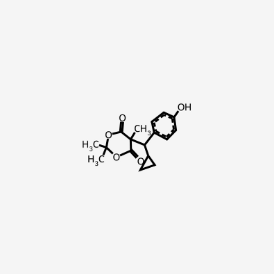 CC1(C)OC(=O)C(C)(C(c2ccc(O)cc2)C2CC2)C(=O)O1